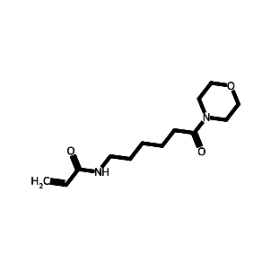 C=CC(=O)NCCCCCC(=O)N1CCOCC1